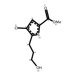 COC(=O)c1cc(Cl)c(CCCO)s1